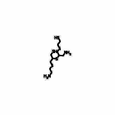 NCCSCC(CS)SC(CN)CSCCS